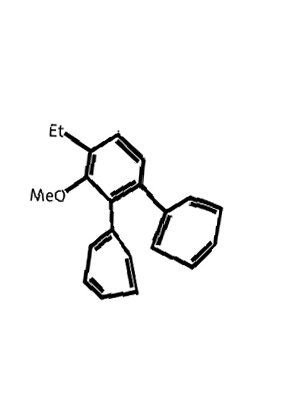 CCc1[c]cc(-c2ccccc2)c(-c2ccccc2)c1OC